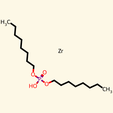 CCCCCCCCOP(=O)(O)OCCCCCCCC.[Zr]